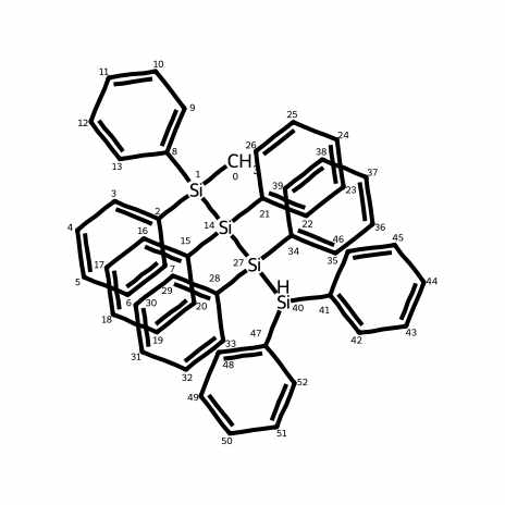 C[Si](c1ccccc1)(c1ccccc1)[Si](c1ccccc1)(c1ccccc1)[Si](c1ccccc1)(c1ccccc1)[SiH](c1ccccc1)c1ccccc1